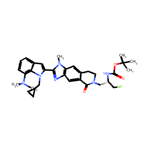 CN(C)c1cccc2cc(-c3nc4cc5c(cc4n3C)CCN(C[C@@H](CF)NC(=O)OC(C)(C)C)C5=O)n(CC3CC3)c12